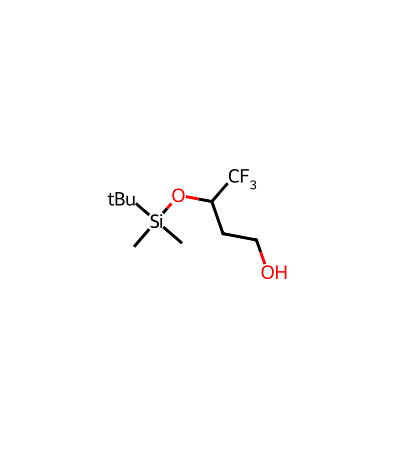 CC(C)(C)[Si](C)(C)OC(CCO)C(F)(F)F